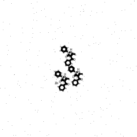 Cc1[nH]n(-c2ccccc2)c(=O)c1C(=O)C1CCCCC1.Cc1[nH]n(-c2ccccc2)c(=O)c1C(=O)C1CCCCC1.Cc1[nH]n(-c2ccccc2)c(=O)c1C(=O)C1CCCCC1.[Tb]